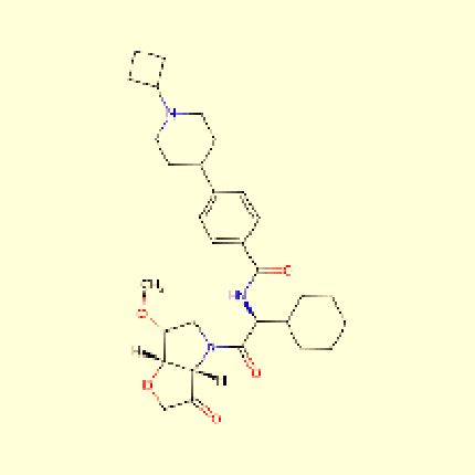 CO[C@@H]1CN(C(=O)[C@@H](NC(=O)c2ccc(C3CCN(C4CCC4)CC3)cc2)C2CCCCC2)[C@@H]2C(=O)CO[C@@H]21